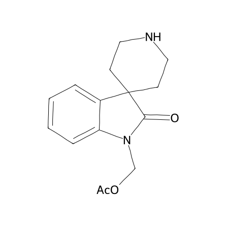 CC(=O)OCN1C(=O)C2(CCNCC2)c2ccccc21